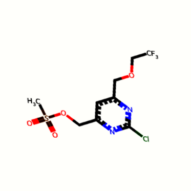 CS(=O)(=O)OCc1cc(COCC(F)(F)F)nc(Cl)n1